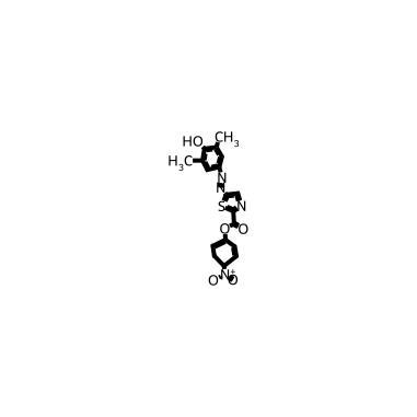 Cc1cc(/N=N/c2cnc(C(=O)OC3=CCC([N+](=O)[O-])C=C3)s2)cc(C)c1O